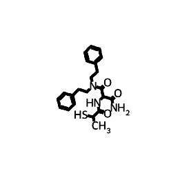 CC(S)C(=O)NC(C(N)=O)C(=O)N(CCc1ccccc1)CCc1ccccc1